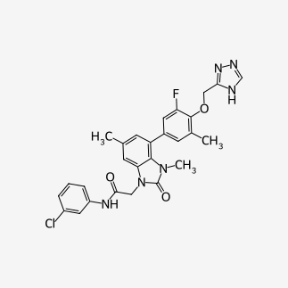 Cc1cc(-c2cc(C)c(OCc3nnc[nH]3)c(F)c2)c2c(c1)n(CC(=O)Nc1cccc(Cl)c1)c(=O)n2C